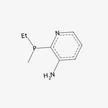 CCP(C)c1ncccc1N